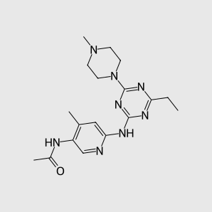 CCc1nc(Nc2cc(C)c(NC(C)=O)cn2)nc(N2CCN(C)CC2)n1